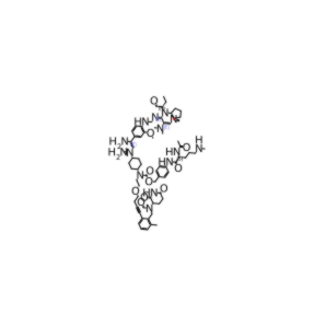 C=N/C=C(\C(=N/CNc1ccc(/C(N)=C/N(N)[C@H]2CC[C@@H](N(CCOCCC#Cc3cccc(C)c3CN(C=O)C3CCC(=O)NC3=O)C(=O)OCc3ccc(NC(=O)[C@H](CCCNC)NC(C)=O)cc3)CC2)cc1OC)N(C1CCCC1)[C@@H](C=O)CC)N(C)C